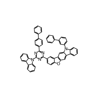 c1ccc(-c2ccc(-c3nc(-c4ccc5oc6cc7c8ccccc8n(-c8cccc(-c9ccccc9)c8)c7cc6c5c4)nc(-n4c5ccccc5c5ccccc54)n3)cc2)cc1